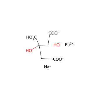 O=C([O-])CC(O)(CC(=O)[O-])C(=O)O.[Na+].[OH-].[Pb+2]